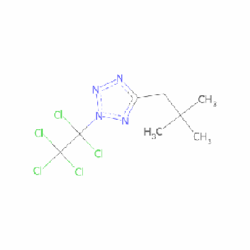 CC(C)(C)Cc1nnn(C(Cl)(Cl)C(Cl)(Cl)Cl)n1